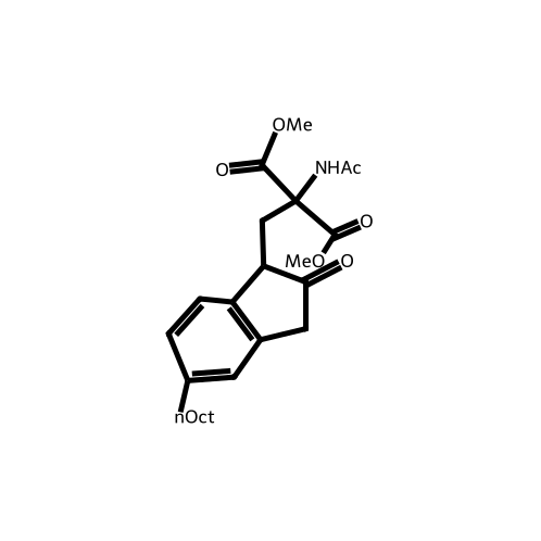 CCCCCCCCc1ccc2c(c1)CC(=O)C2CC(NC(C)=O)(C(=O)OC)C(=O)OC